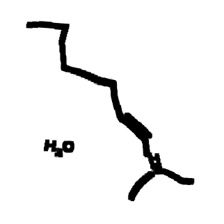 CCCCC=C[SiH](C)C.O